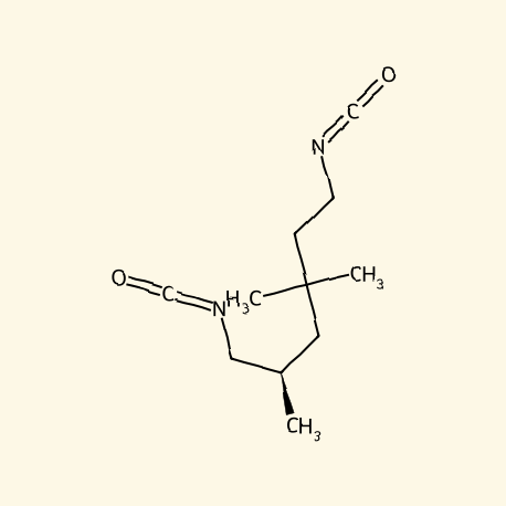 C[C@@H](CN=C=O)CC(C)(C)CCN=C=O